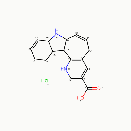 Cl.O=C(O)C1=CC2=C(NC1)C1C(C=CC2)NC2C=CCCC21